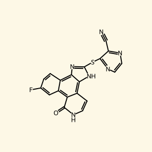 N#Cc1nccnc1Sc1nc2c3ccc(F)cc3c3c(=O)[nH]ccc3c2[nH]1